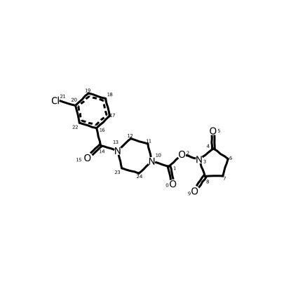 O=C(ON1C(=O)CCC1=O)N1CCN(C(=O)c2cccc(Cl)c2)CC1